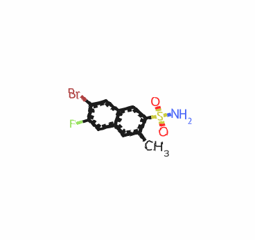 Cc1cc2cc(F)c(Br)cc2cc1S(N)(=O)=O